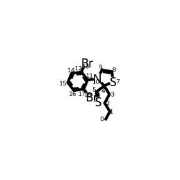 CCCCC1(C=S)SC=CN1c1c(Br)cccc1Br